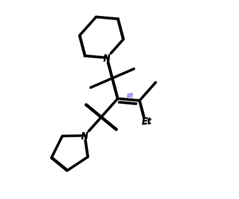 CC/C(C)=C(/C(C)(C)N1CCCCC1)C(C)(C)N1CCCC1